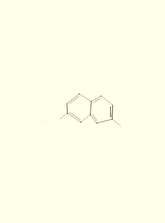 CCOC(=O)c1ccc2ccc(F)cc2c1